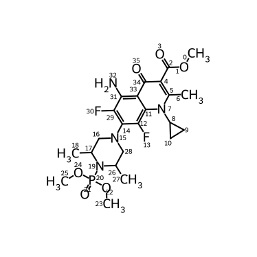 COC(=O)c1c(C)n(C2CC2)c2c(F)c(N3CC(C)N(P(=O)(OC)OC)C(C)C3)c(F)c(N)c2c1=O